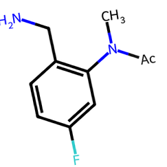 CC(=O)N(C)c1cc(F)ccc1CN